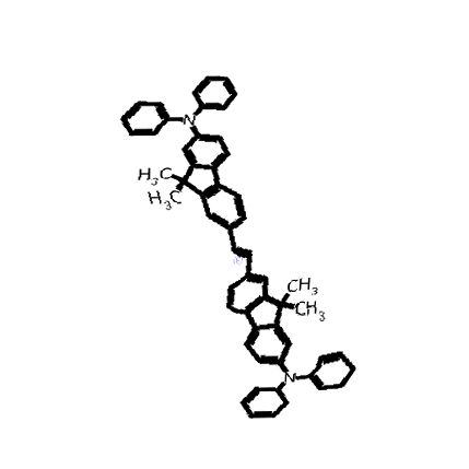 CC1(C)c2cc(/C=C/c3ccc4c(c3)C(C)(C)c3cc(N(C5=CCCC=C5)C5C=CC=CC5)ccc3-4)ccc2-c2ccc(N(c3ccccc3)c3ccccc3)cc21